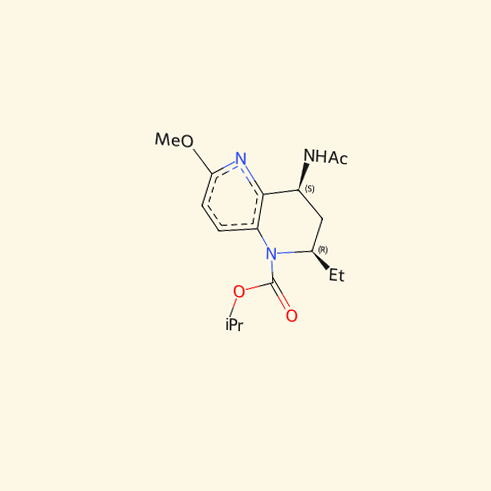 CC[C@@H]1C[C@H](NC(C)=O)c2nc(OC)ccc2N1C(=O)OC(C)C